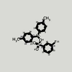 Cc1ccc([I+](OS(=O)(=O)c2cccc(F)c2)c2ccc(C)cc2)cc1